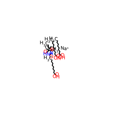 CCCC(C)C1(CC)C(=O)N=C([O-])NC1=O.CCCCCCCCCC(=O)O.CCCCCCCCCC(=O)O.CCCCCCCCCC(=O)O.[Na+]